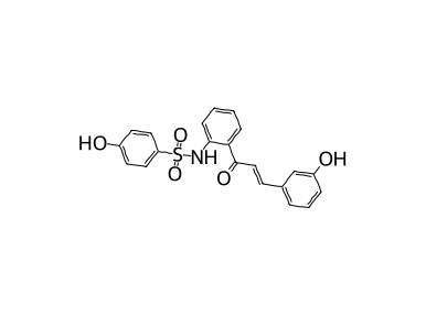 O=C(C=Cc1cccc(O)c1)c1ccccc1NS(=O)(=O)c1ccc(O)cc1